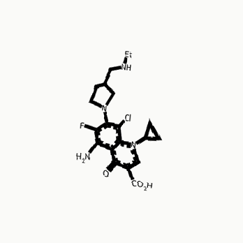 CCNCC1CCN(c2c(F)c(N)c3c(=O)c(C(=O)O)cn(C4CC4)c3c2Cl)C1